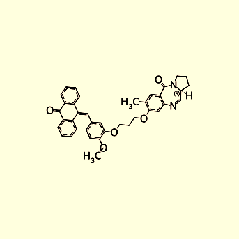 COc1ccc(C=C2c3ccccc3C(=O)c3ccccc32)cc1OCCCOc1cc2c(cc1C)C(=O)N1CCC[C@H]1C=N2